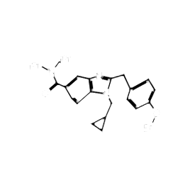 CCOc1ccc(Cc2nc3cc(C(=O)N(C(C)C)C(C)C)ccc3n2CC2CC2)cc1